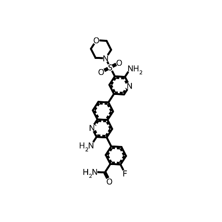 NC(=O)c1cc(-c2cc3cc(-c4cnc(N)c(S(=O)(=O)N5CCOCC5)c4)ccc3nc2N)ccc1F